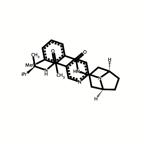 COc1cccc(C(=O)N[C@H]2C[C@H]3CC[C@@H](C2)N3c2ccc(C(=O)N[C@H](C)C(C)C)cn2)c1C